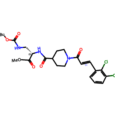 COC(=O)[C@H](CNC(=O)OC(C)(C)C)NC(=O)C1CCN(C(=O)/C=C/c2cccc(Cl)c2Cl)CC1